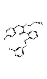 NCCCN(Cc1ccc(F)cc1)C(=O)c1ccccc1OCc1cccc(F)c1